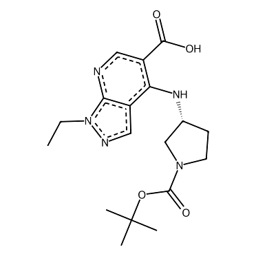 CCn1ncc2c(N[C@@H]3CCN(C(=O)OC(C)(C)C)C3)c(C(=O)O)cnc21